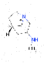 CNC1C[C@@H]2CC[N@](C1)C2